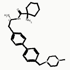 CN1CCN(Cc2ccc(-c3ccc(C[C@H](N)NC(=O)C4(N)CCCCC4)cc3)cc2)CC1